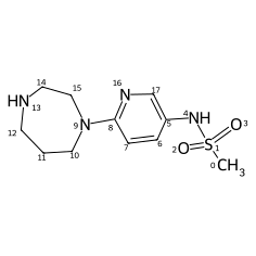 CS(=O)(=O)Nc1ccc(N2CCCNCC2)nc1